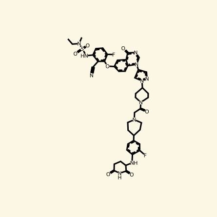 CCN(C)S(=O)(=O)Nc1ccc(F)c(Oc2ccc3c(c2)c(=O)ncn3-c2cnn(C3CCN(C(=O)CN4CCC(c5ccc(NC6CCC(=O)NC6=O)c(F)c5)CC4)CC3)c2)c1C#N